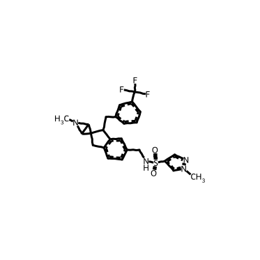 CN1C2C1C21Cc2ccc(CNS(=O)(=O)c3cnn(C)c3)cc2C1Cc1cccc(C(F)(F)F)c1